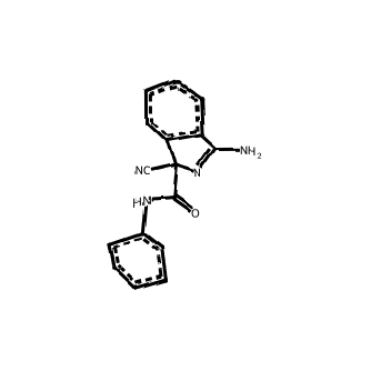 N#CC1(C(=O)Nc2ccccc2)N=C(N)c2ccccc21